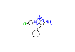 Nc1cc(CCC2CCCCCCCC2)c(/N=N/c2ccc(Cl)cc2)c(N)n1